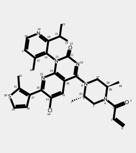 C=CC(=O)N1C[C@H](C)N(c2nc(=O)n(-c3c(C)ccnc3C(C)C)c3nc(-c4ccsc4C)c(Cl)cc23)C[C@H]1C